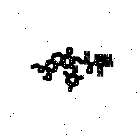 CCOc1cc2c(cc1OC)-c1c/c(=N\c3c(C)cc(C)cc3C)n(CCNC(=O)C3=NNNN3)c(=O)n1CC2